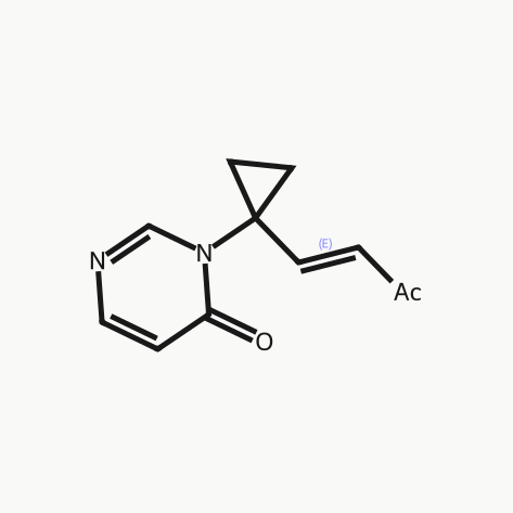 CC(=O)/C=C/C1(n2cnccc2=O)CC1